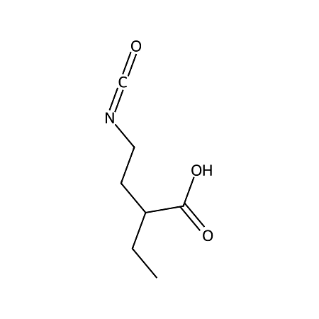 CCC(CCN=C=O)C(=O)O